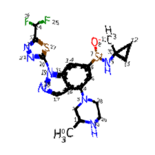 CC1CN(c2cc([S+]([O-])NC3(C)CC3)cc3c2cnn3-c2nnc(C(F)F)s2)CCN1